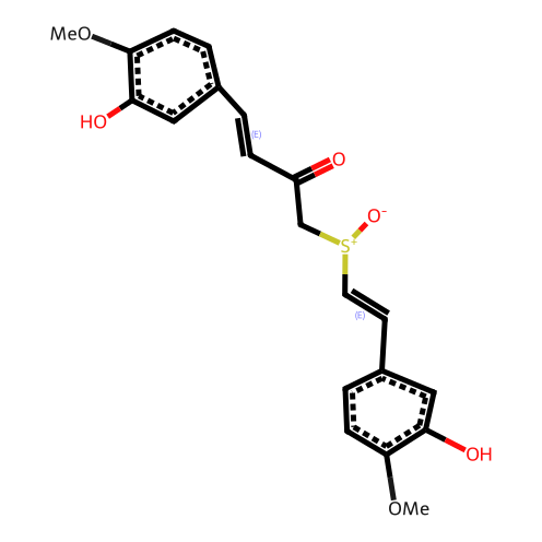 COc1ccc(/C=C/C(=O)C[S+]([O-])/C=C/c2ccc(OC)c(O)c2)cc1O